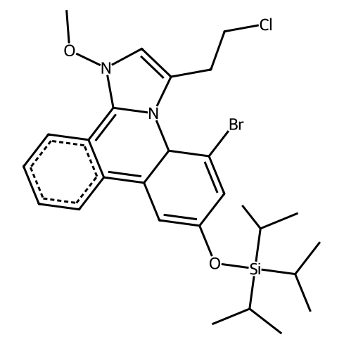 CON1C=C(CCCl)N2C1=c1ccccc1=C1C=C(O[Si](C(C)C)(C(C)C)C(C)C)C=C(Br)C12